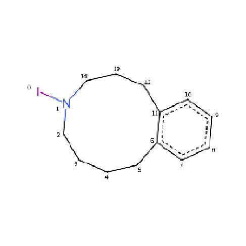 IN1CCCCc2ccccc2CCC1